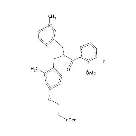 CCCCCCCCCCCCOc1ccc(CN(Cc2ccc[n+](C)c2)C(=O)c2ccccc2OC)c(C)c1.[I-]